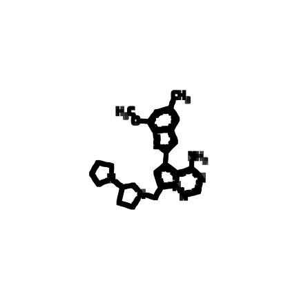 COc1cc(C)cc2cc(-c3cc(CN4CCC(N5CCCC5)C4)n4ncnc(N)c34)sc12